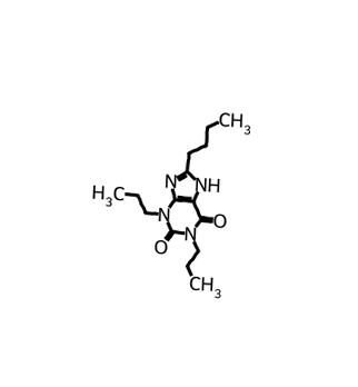 CCCCc1nc2c([nH]1)c(=O)n(CCC)c(=O)n2CCC